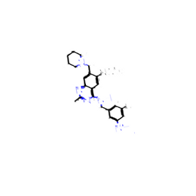 CNc1cc2c(NCc3cc(N)cc(C(F)(F)F)c3)nc(C)nc2cc1CN1CCCCC1